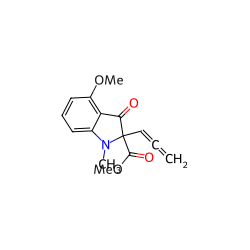 C=C=CC1(C(=O)OC)C(=O)c2c(OC)cccc2N1C